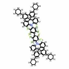 Fc1c(F)c(N2c3ccccc3C(c3ccc(C4CCCCC4)cc3)(c3ccc(C4CCCCC4)cc3)c3ccccc32)c(F)c(F)c1-c1c(F)c(F)c(N2c3ccccc3C(c3ccc(C4CCCCC4)cc3)(c3ccc(C4CCCCC4)cc3)c3ccccc32)c(F)c1F